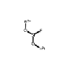 CCCO[Si](F)OCCC